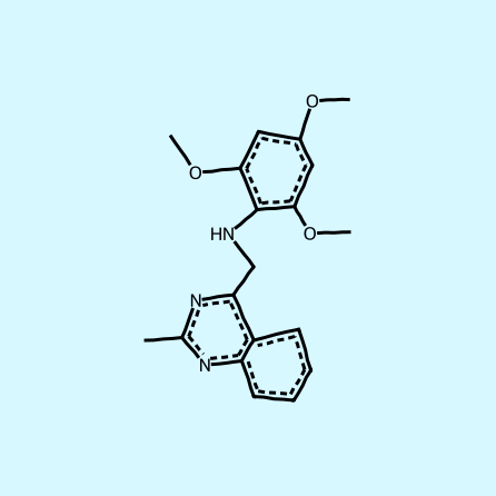 COc1cc(OC)c(NCc2nc(C)nc3ccccc23)c(OC)c1